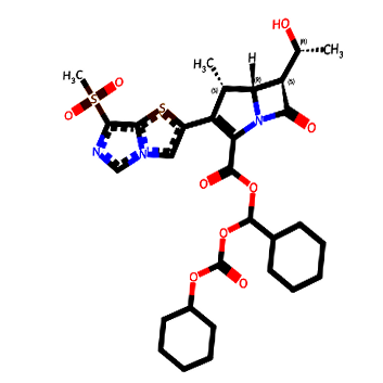 C[C@@H](O)[C@H]1C(=O)N2C(C(=O)OC(OC(=O)OC3CCCCC3)C3CCCCC3)=C(c3cn4cnc(S(C)(=O)=O)c4s3)[C@H](C)[C@H]12